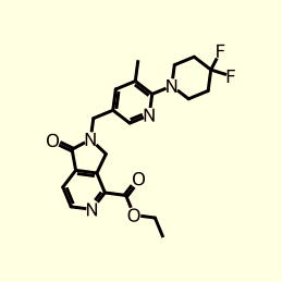 CCOC(=O)c1nccc2c1CN(Cc1cnc(N3CCC(F)(F)CC3)c(C)c1)C2=O